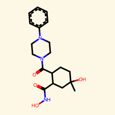 CC1(O)CCC(C(=O)N2CCN(c3ccccc3)CC2)C(C(=O)NO)C1